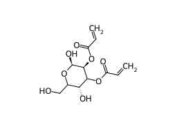 C=CC(=O)OC1[C@H](O)C(CO)O[C@@H](O)[C@H]1OC(=O)C=C